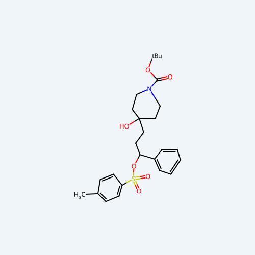 Cc1ccc(S(=O)(=O)OC(CCC2(O)CCN(C(=O)OC(C)(C)C)CC2)c2ccccc2)cc1